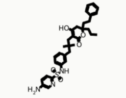 CCCC1(CCc2ccccc2)CC(O)=C(CC(C)(C)Cc2cccc(NS(=O)(=O)c3ccc(N)cn3)c2)C(=O)O1